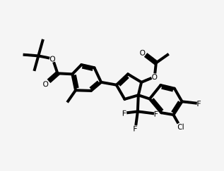 CC(=O)OC1C=C(c2ccc(C(=O)OC(C)(C)C)c(C)c2)CC1(c1ccc(F)c(Cl)c1)C(F)(F)F